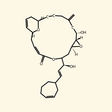 C=C1CCC[C@@H]2CC=C[C@@H](C/C=C\C(=O)OC([C@@H](O)/C=C/C3CC=CCCC3)C[C@@H]3O[C@H]3[C@@H](O)C1)O2